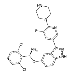 N[C@@H](Oc1ccc2[nH]nc(-c3cnc(N4CCNCC4)c(F)c3)c2c1)c1c(Cl)cncc1Cl